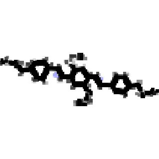 CCCCOc1cc(/C=C/c2ccc(CSC(C)=O)cc2)c(OCCCC)cc1/C=C/c1ccc(CSC(C)=O)cc1